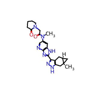 CN(C(=O)CN1CCCCC1=O)c1cnc2nc(-c3n[nH]c4c3C[C@@H]3C[C@]3(C)C4)[nH]c2c1